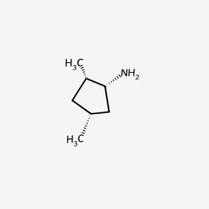 C[C@H]1C[C@@H](N)[C@@H](C)C1